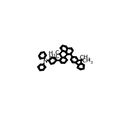 CC1(C)c2ccccc2-c2ccc(-c3ccc4cccc5c4c3-c3cccc(-c4ccc(N(c6ccccc6)c6ccccc6)cc4)c3C5(C)C)cc21